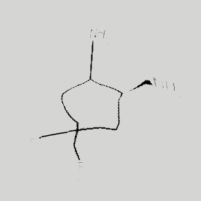 NC1CC(F)(F)C[C@@H]1N